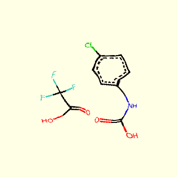 O=C(O)C(F)(F)F.O=C(O)Nc1ccc(Cl)cc1